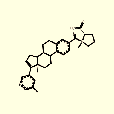 C[C@]12CCC3c4ccc(C(=O)[N+]5(C)CCC[C@H]5C(N)=O)cc4CCC3C1CC=C2c1cncc(F)c1